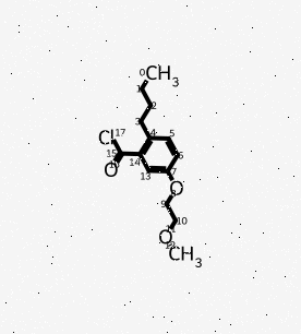 CCCCc1ccc(OCCOC)cc1C(=O)Cl